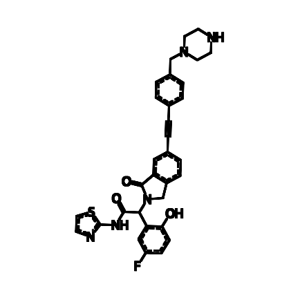 O=C(Nc1nccs1)C(c1cc(F)ccc1O)N1Cc2ccc(C#Cc3ccc(CN4CCNCC4)cc3)cc2C1=O